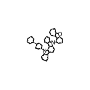 c1ccc(-c2ccc(-n3c4ccccc4c4ccc5c(c6ccccc6n5-c5cccc6oc7ccccc7c56)c43)cc2)cc1